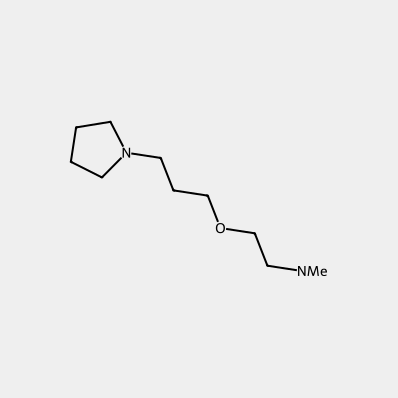 CNCCOCCCN1CCCC1